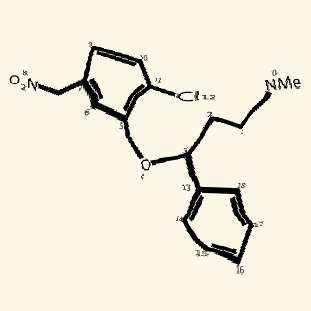 CNCCC(Oc1cc([N+](=O)[O-])ccc1Cl)c1ccccc1